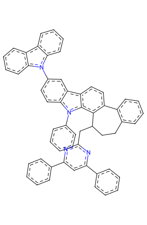 c1ccc(-c2cc(-c3ccccc3)nc(CC3CCc4ccccc4-c4ccc5c6cc(-n7c8ccccc8c8ccccc87)ccc6n(-c6ccccc6)c5c43)n2)cc1